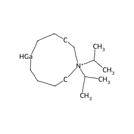 CC(C)[N+]1(C(C)C)CCC[CH2][GaH][CH2]CCC1